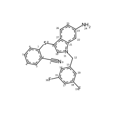 N#Cc1ccccc1Sc1cn(Cc2cc(F)cc(F)c2)c2cc(N)ccc12